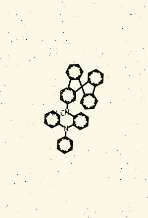 CN(c1ccc2c(c1)C1(c3ccccc3-c3ccccc31)c1ccccc1-2)c1ccccc1N(c1ccccc1)c1ccccc1